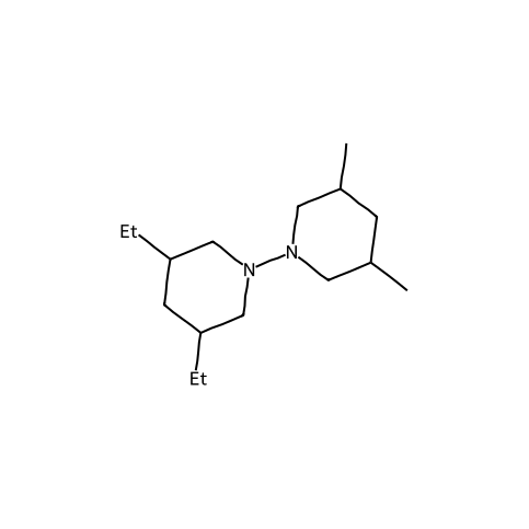 CCC1CC(CC)CN(N2CC(C)CC(C)C2)C1